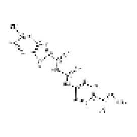 CCCCOC(=O)c1ccc(NC(=S)NC(=O)c2cc3cc(Cl)ccc3o2)cc1